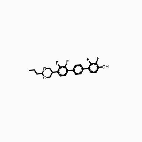 CCCC1OCC(c2ccc(-c3ccc(-c4ccc(O)c(F)c4F)cc3)c(F)c2F)CO1